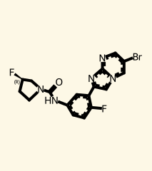 O=C(Nc1ccc(F)c(-c2cn3cc(Br)cnc3n2)c1)N1CC[C@@H](F)C1